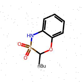 CCCCC1Oc2ccccc2NS1(=O)=O